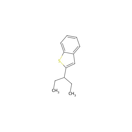 CCC(CC)c1cc2ccccc2s1